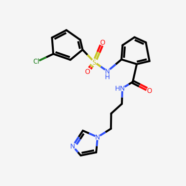 O=C(NCCCn1ccnc1)c1ccccc1NS(=O)(=O)c1cccc(Cl)c1